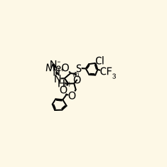 COC1C(N=[N+]=[N-])[C@H]2OC(c3ccccc3)OCC2O[C@@H]1Sc1ccc(C(F)(F)F)c(Cl)c1